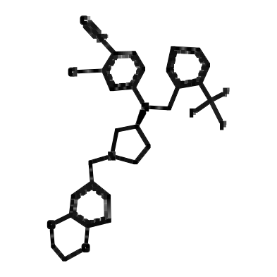 [C-]#[N+]c1ccc(N(Cc2ccccc2C(F)(F)F)[C@H]2CCN(Cc3ccc4c(c3)OCCO4)C2)cc1Cl